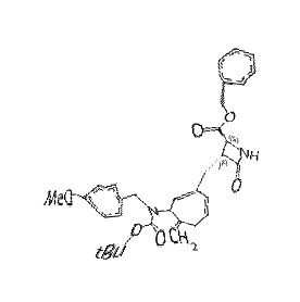 C=C1CC=CC(C[C@H]2C(=O)N[C@@H]2C(=O)OCc2ccccc2)=CC1N(Cc1ccc(OC)cc1)C(=O)OC(C)(C)C